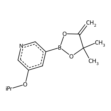 C=C1OB(c2cncc(OC(C)C)c2)OC1(C)C